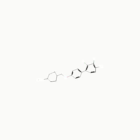 CCCCCCC1CCC(COc2ccc(-c3ccc(C#N)c(F)c3F)cc2)CC1